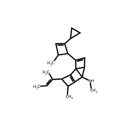 C/C=C(\C)C1C2=C(C1C)C1(NC)C3C=C(C4C(C5CC5)=CC4C)C231